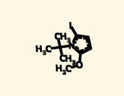 COc1ccc(I)n1C(C)(C)C